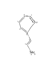 [SiH3]C=Cc1ccccc1